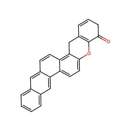 O=C1CC=CC2=C1Oc1ccc3c(ccc4cc5ccccc5cc43)c1C2